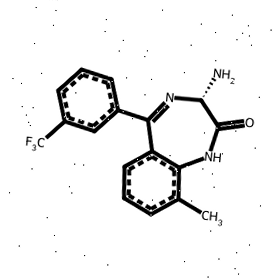 Cc1cccc2c1NC(=O)[C@@H](N)N=C2c1cccc(C(F)(F)F)c1